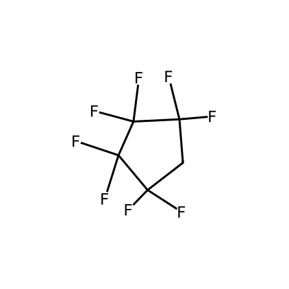 FC1(F)CC(F)(F)C(F)(F)C1(F)F